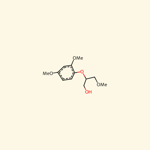 COCC(CO)Oc1ccc(OC)cc1OC